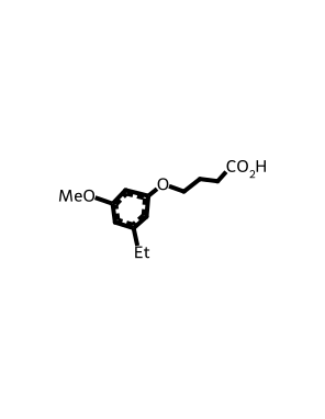 CCc1cc(OC)cc(OCCCC(=O)O)c1